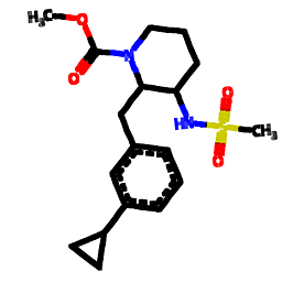 COC(=O)N1CCCC(NS(C)(=O)=O)C1Cc1cccc(C2CC2)c1